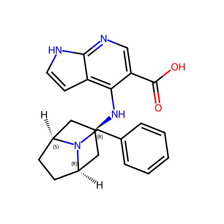 O=C(O)c1cnc2[nH]ccc2c1N[C@H]1C[C@H]2CC[C@@H](C1)N2Cc1ccccc1